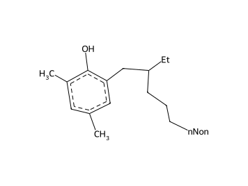 CCCCCCCCCCCCC(CC)Cc1cc(C)cc(C)c1O